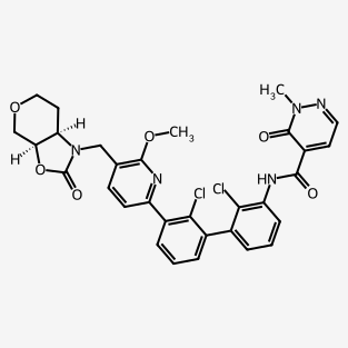 COc1nc(-c2cccc(-c3cccc(NC(=O)c4ccnn(C)c4=O)c3Cl)c2Cl)ccc1CN1C(=O)O[C@H]2COCC[C@H]21